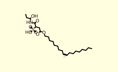 CCCCCCCC/C=C\CCCCCCCCOC(=O)CC(C(=O)NC(O)CC)S(=O)(=O)O